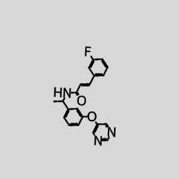 CC(NC(=O)C=Cc1cccc(F)c1)c1cccc(Oc2cncnc2)c1